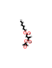 C=C(CC(=O)OCCCCCC)C(=O)OC1COC1